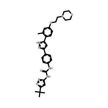 Cc1cc(OCCN2CCOCC2)ccc1-c1cc(-c2ccc(NC(=O)Nc3cc(C(C)(C)C)on3)cc2)n[nH]1